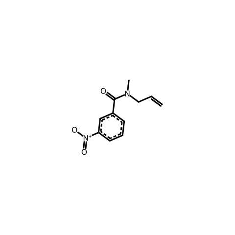 C=CCN(C)C(=O)c1cccc([N+](=O)[O-])c1